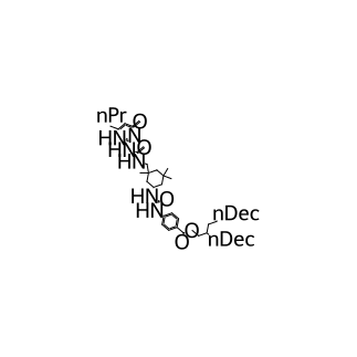 CCCCCCCCCCCCC(CCCCCCCCCC)COC(=O)c1ccc(NC(=O)NC2CC(C)(C)CC(C)(CNC(=O)Nc3nc(=O)c(CCC)c(C)[nH]3)C2)cc1